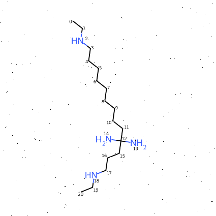 CCNCCCCCCCCCC(N)(N)CCCNCC